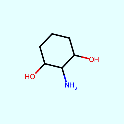 NC1C(O)CCCC1O